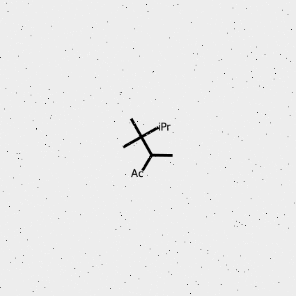 CC(=O)C(C)C(C)(C)C(C)C